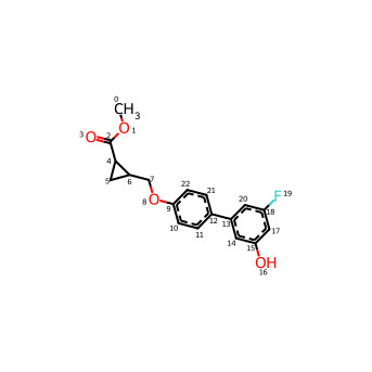 COC(=O)C1CC1COc1ccc(-c2cc(O)cc(F)c2)cc1